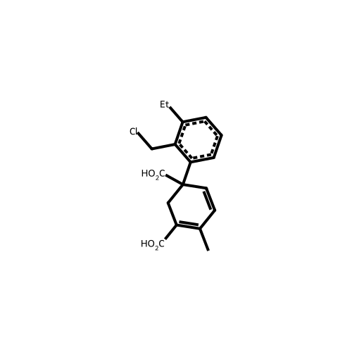 CCc1cccc(C2(C(=O)O)C=CC(C)=C(C(=O)O)C2)c1CCl